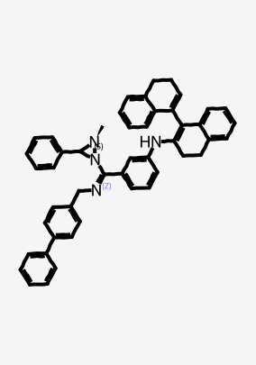 C[N@]1C(c2ccccc2)N1/C(=N\Cc1ccc(-c2ccccc2)cc1)c1cccc(NC2=C(C3=CCCc4ccccc43)c3ccccc3CC2)c1